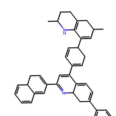 CC1C=C(C2C=CC(C3=CC(C4=CCC5C=CC=CC5=C4)=NC4CC(c5ccccc5)=CC=C34)=CC2)C2=C(CCC(C)N2)C1